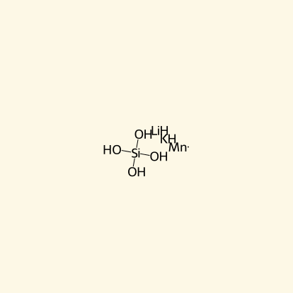 O[Si](O)(O)O.[KH].[LiH].[Mn]